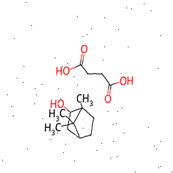 CC1(C)C2CCC1(C)C(O)C2.O=C(O)CCC(=O)O